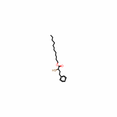 CCCCCCCCCCCCOC(=O)C(S)CCc1ccccc1